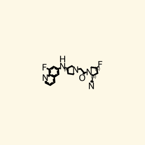 N#C[C@@H]1C[C@H](F)CN1C(=O)CN1CC[C@@H](Nc2cc(F)c3ncccc3c2)C1